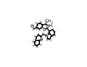 C[C@H](NC(=O)c1cccc2ccn(Cc3ccc4ccccc4n3)c12)c1ccc(C=O)cc1